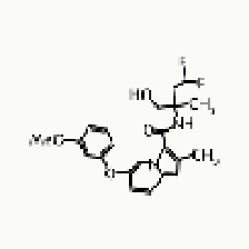 COc1cccc(Oc2ccc3cc(C)c(C(=O)NC(C)(CO)CC(F)F)n3c2)c1